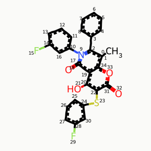 Cc1c(-c2ccccc2)n(-c2cccc(F)c2)c(=O)c2c(O)c(Sc3cccc(F)c3)c(=O)oc12